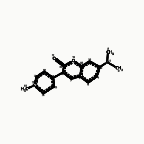 CN(C)c1ccc2cc(-c3cc[n+](C)cc3)c(=O)oc2c1